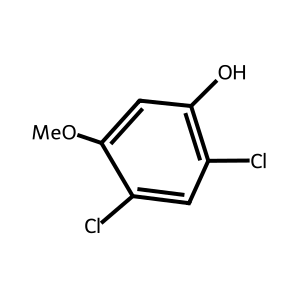 COc1cc(O)c(Cl)cc1Cl